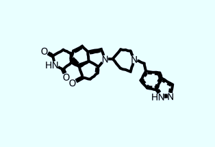 O=C1CCC(C2C(=O)CC=C3N(C4CCN(Cc5ccc6[nH]ncc6c5)CC4)C=C4C=CC=CC432)C(=O)N1